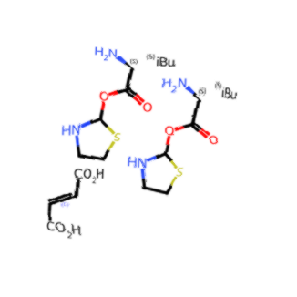 CC[C@H](C)[C@H](N)C(=O)OC1NCCS1.CC[C@H](C)[C@H](N)C(=O)OC1NCCS1.O=C(O)/C=C/C(=O)O